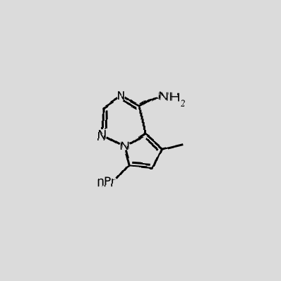 CCCc1cc(C)c2c(N)ncnn12